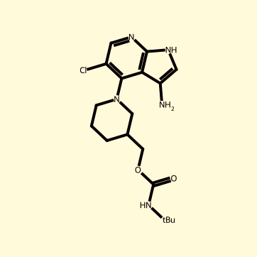 CC(C)(C)NC(=O)OCC1CCCN(c2c(Cl)cnc3[nH]cc(N)c23)C1